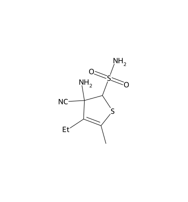 CCC1=C(C)SC(S(N)(=O)=O)C1(N)C#N